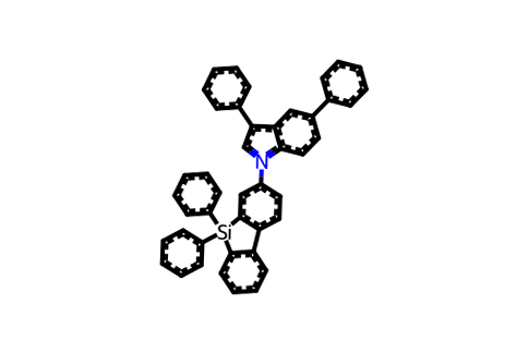 c1ccc(-c2ccc3c(c2)c(-c2ccccc2)cn3-c2ccc3c(c2)[Si](c2ccccc2)(c2ccccc2)c2ccccc2-3)cc1